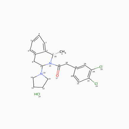 C[C@H]1c2ccccc2CC(N2CCCC2)N1C(=O)Cc1ccc(Cl)c(Cl)c1.Cl